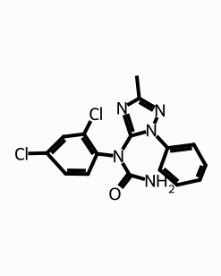 Cc1nc(N(C(N)=O)c2ccc(Cl)cc2Cl)n(-c2ccccc2)n1